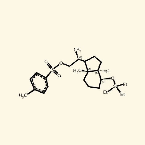 CC[Si](CC)(CC)O[C@H]1CCC[C@]2(C)C([C@H](C)COS(=O)(=O)c3ccc(C)cc3)CC[C@@H]12